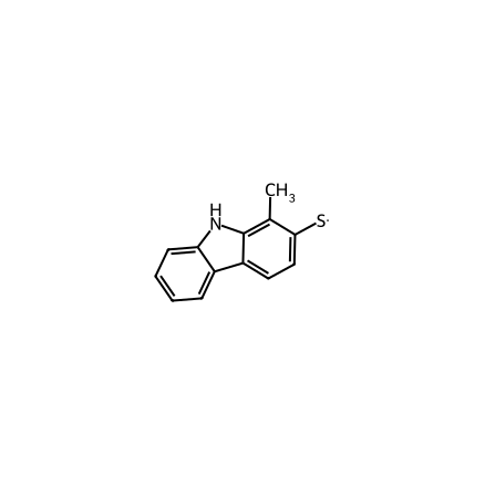 Cc1c([S])ccc2c1[nH]c1ccccc12